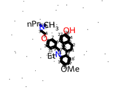 CCCN(C)CCOc1ccc(CN(CC)C2C=C(OC)C=CC2[C@@H]2CCc3cc(O)ccc3C2)cc1